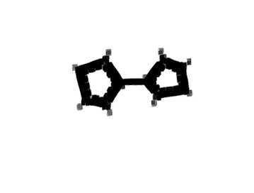 [c]1nsc(-c2nncs2)n1